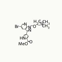 COC(=O)c1cc(-c2nn(COCC[Si](C)(C)C)c3ncc(Br)cc23)c[nH]1